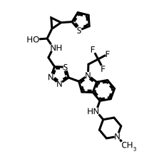 CN1CCC(Nc2cccc3c2cc(-c2nnc(CNC(O)C4CC4c4cccs4)s2)n3CC(F)(F)F)CC1